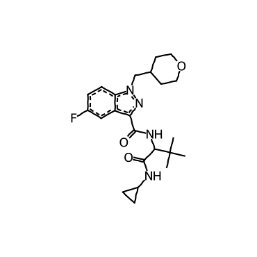 CC(C)(C)C(NC(=O)c1nn(CC2CCOCC2)c2ccc(F)cc12)C(=O)NC1CC1